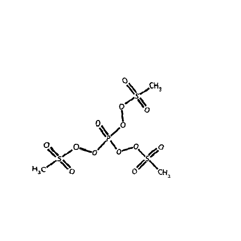 CS(=O)(=O)OOP(=O)(OOS(C)(=O)=O)OOS(C)(=O)=O